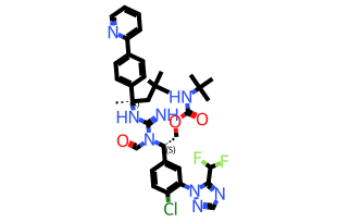 CC(C)(C)C[C@@](C)(NC(=N)N(C=O)[C@H](COC(=O)NC(C)(C)C)c1ccc(Cl)c(-n2ncnc2C(F)F)c1)c1ccc(-c2ccccn2)cc1